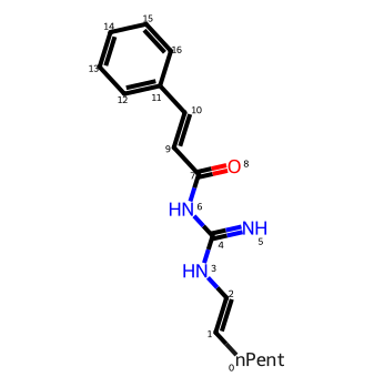 CCCCC/C=C/NC(=N)NC(=O)/C=C/c1ccccc1